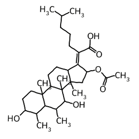 CC(=O)OC1CC2(C)C(CCC3C4(C)CCC(O)C(C)C4C(C)C(O)C32C)/C1=C(\CCCC(C)C)C(=O)O